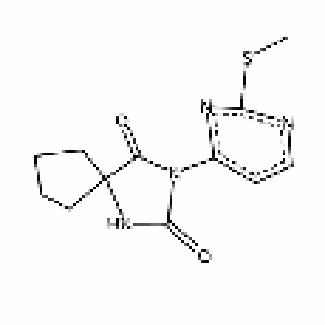 CSc1nccc(N2C(=O)NC3(CCCC3)C2=O)n1